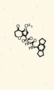 Cn1cc(S(=O)(=O)NC(=O)Nc2c3c(cc4c2CCC4)CCC3)c2c1C(=O)CCO2